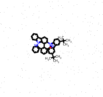 CC(C)(C)c1ccc2c(c1)c1cc(C(C)(C)C)ccc1n2-c1ccc2c3ccccc3n(-c3ccccc3)c2c1-c1c(C#N)cccc1C#N